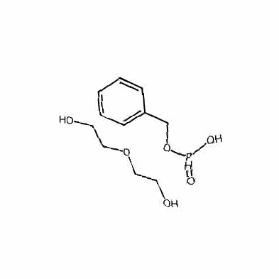 O=[PH](O)OCc1ccccc1.OCCOCCO